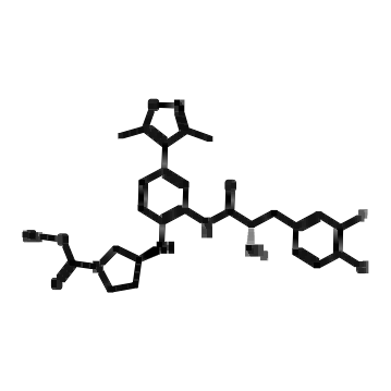 Cc1noc(C)c1-c1ccc(N[C@H]2CCN(C(=O)OC(C)(C)C)C2)c(NC(=O)[C@@H](N)Cc2ccc(Cl)c(F)c2)c1